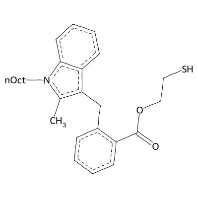 CCCCCCCCn1c(C)c(Cc2ccccc2C(=O)OCCS)c2ccccc21